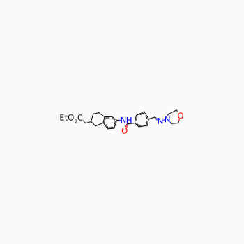 CCOC(=O)CC1CCc2cc(NC(=O)c3ccc(C=NN4CCOCC4)cc3)ccc2C1